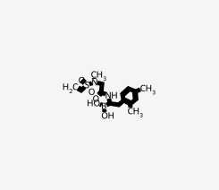 C=CS(=O)(=O)N(C)CC(=O)NC(Cc1ccc(C)cc1C)B(O)O